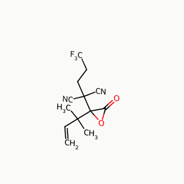 C=CC(C)(C)C1(C(C#N)(C#N)CCC(F)(F)F)OC1=O